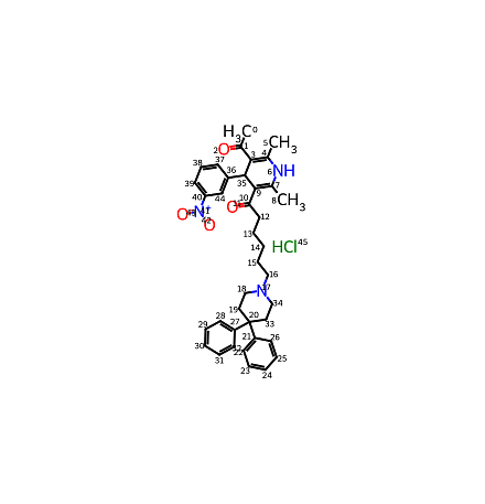 CC(=O)C1=C(C)NC(C)=C(C(=O)CCCCCN2CCC(c3ccccc3)(c3ccccc3)CC2)C1c1cccc([N+](=O)[O-])c1.Cl